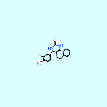 Cc1cc(C2NC(=O)NC3=C2CCc2ccccc23)ccc1O